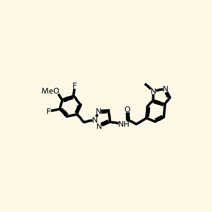 COc1c(F)cc(Cn2ncc(NC(=O)Cc3ccc4cnn(C)c4c3)n2)cc1F